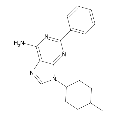 CC1CCC(n2cnc3c(N)nc(-c4ccccc4)nc32)CC1